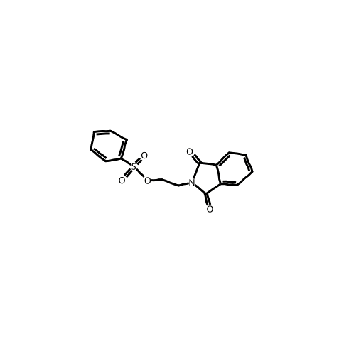 O=C1c2ccccc2C(=O)N1CCOS(=O)(=O)c1ccccc1